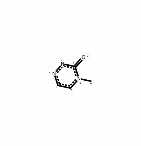 Cn1ccnnc1=O